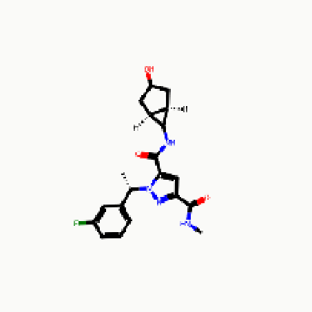 CNC(=O)c1cc(C(=O)NC2[C@H]3CC(O)C[C@@H]23)n([C@@H](C)c2cccc(F)c2)n1